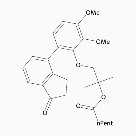 CCCCCC(=O)OC(C)(C)COc1c(-c2cccc3c2CCC3=O)ccc(OC)c1OC